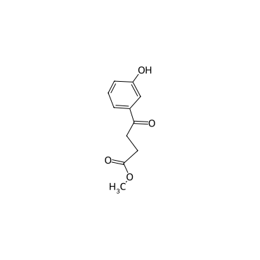 COC(=O)CCC(=O)c1cccc(O)c1